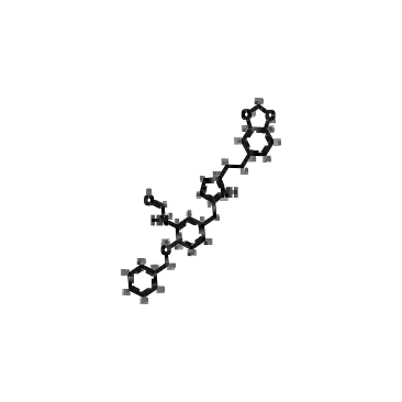 O=CNc1cc(Cc2ccc(CCc3ccc4c(c3)OCO4)[nH]2)ccc1OCc1ccccc1